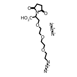 [N-]=[N+]=NCCOCCOCCOCC(C(=O)O)N1C(=O)CCC1=O.[N-]=[N+]=[N-]